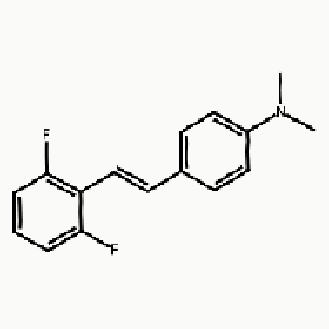 CN(C)c1ccc(C=Cc2c(F)cccc2F)cc1